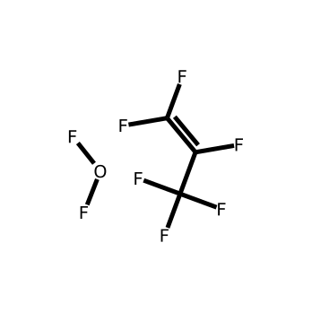 FC(F)=C(F)C(F)(F)F.FOF